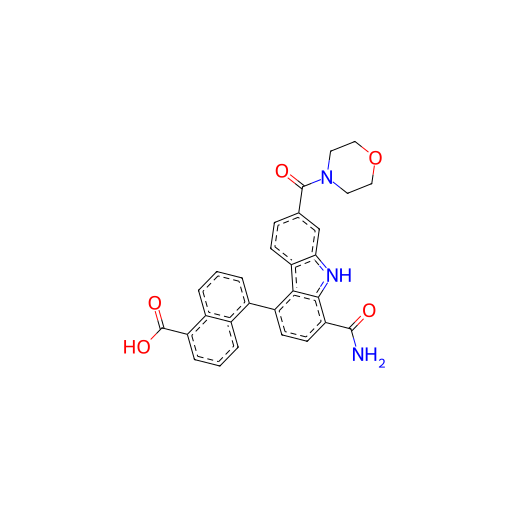 NC(=O)c1ccc(-c2cccc3c(C(=O)O)cccc23)c2c1[nH]c1cc(C(=O)N3CCOCC3)ccc12